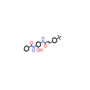 CC(C)(C)c1ccc(/C=C/C(=O)Nc2ccc(NC(=O)c3ccccc3)c(O)c2)cc1